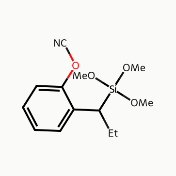 CCC(c1ccccc1OC#N)[Si](OC)(OC)OC